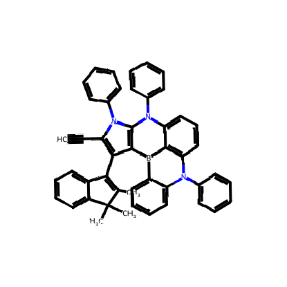 C#Cc1c(C2=C(C)C(C)(C)c3ccccc32)c2c(n1-c1ccccc1)N(c1ccccc1)c1cccc3c1B2c1ccccc1N3c1ccccc1